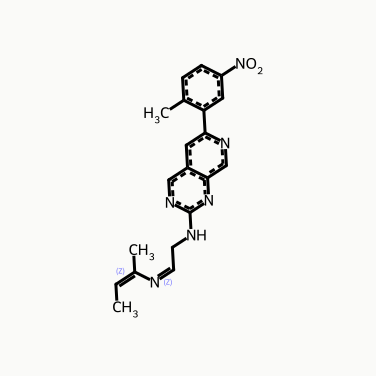 C/C=C(C)\N=C/CNc1ncc2cc(-c3cc([N+](=O)[O-])ccc3C)ncc2n1